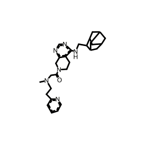 CN(CCc1ccccn1)CC(=O)N1CCc2c(ncnc2NCC2C3CC4CC(C3)CC2C4)C1